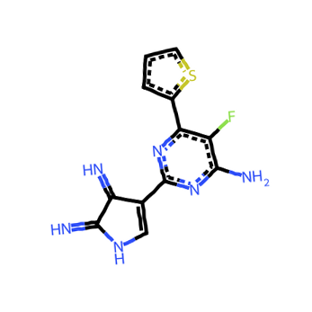 N=C1NC=C(c2nc(N)c(F)c(-c3cccs3)n2)C1=N